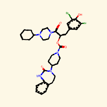 O=C(OC(Cc1cc(Br)c(O)c(Br)c1)C(=O)N1CCN(C2CCCCC2)CC1)N1CCC(N2CCc3ccccc3NC2=O)CC1